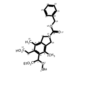 CCOC(=O)C(OC(C)(C)C)c1c(C)c2c(c(C)c1CC(=O)O)CN(C(=O)OCc1ccccc1)C2